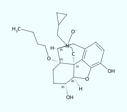 CCCCO[C@@]12CC[C@@H](O)[C@@H]3Oc4c(O)ccc5c4[C@@]31CC[N+]([O-])(CC1CC1)[C@@H]2C5